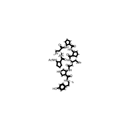 CC(=O)NC1CCCC1C(=O)NC[C@H](CC(C)C)C(=O)NC1CCCC1C(=O)NC1CCCC1C(=O)N[C@H](CC(=O)NC1CNCC1C(=O)N[C@H](C)Cc1ccc(O)cc1)CC(C)C